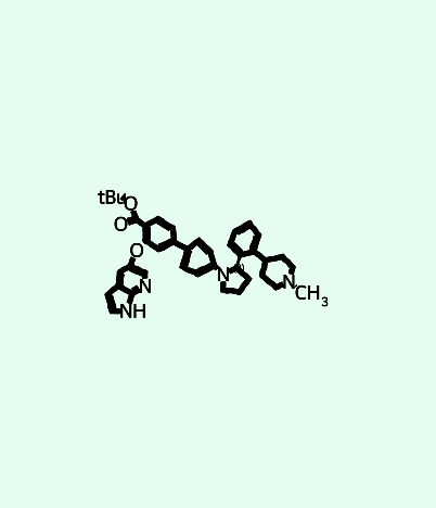 CN1CCC(c2ccccc2[C@H]2CCCN2c2ccc(-c3ccc(C(=O)OC(C)(C)C)c(Oc4cnc5[nH]ccc5c4)c3)cc2)CC1